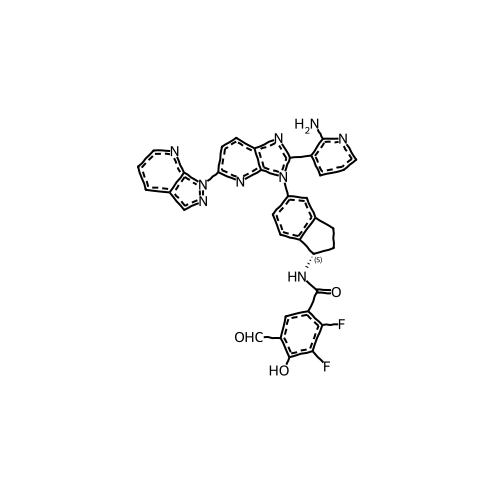 Nc1ncccc1-c1nc2ccc(-n3ncc4cccnc43)nc2n1-c1ccc2c(c1)CC[C@@H]2NC(=O)c1cc(C=O)c(O)c(F)c1F